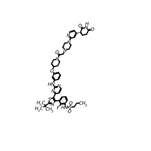 CCCS(=O)(=O)Nc1cccc(-c2nc(C(C)(C)C)sc2-c2ccnc(Nc3cccc(OC4CCN(C(=O)CN5CCN(c6cc([C@@H]7CCC(=O)NC7=O)ccn6)CC5)CC4)c3)n2)c1F